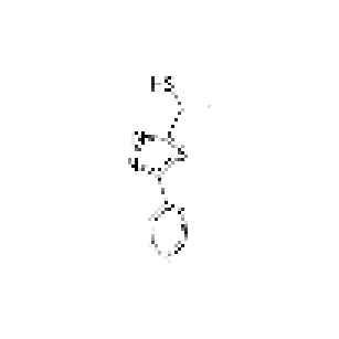 [CH2]C(S)c1nnc(-c2ccccc2)s1